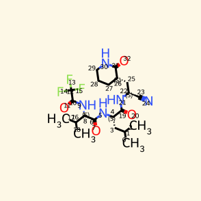 CC(C)C[C@H](NC(=O)[C@@H](NC(=O)C(F)(F)F)C(C)C)C(=O)N[C@H](C#N)C[C@@H]1CCCNC1=O